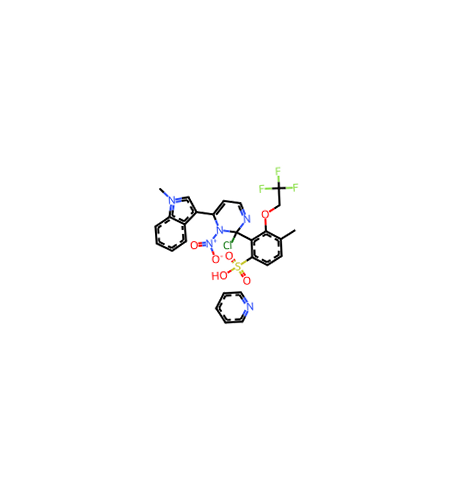 Cc1ccc(S(=O)(=O)O)c(C2(Cl)N=CC=C(c3cn(C)c4ccccc34)N2[N+](=O)[O-])c1OCC(F)(F)F.c1ccncc1